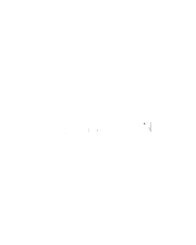 CS(=O)(=O)/C=C\C1CNC1